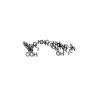 Cc1ncsc1C1C=CC(CNC(=O)[C@@H]2C[C@@H](O)CN2C(=O)[C@@H](NC(=O)Cc2ccc(N3CCN(CCOCCCc4cc(N5C6CCC5CN(c5cc(-c7ccccc7O)nnc5N)C6)ccn4)CC3)nc2)C(C)(C)C)=CC1